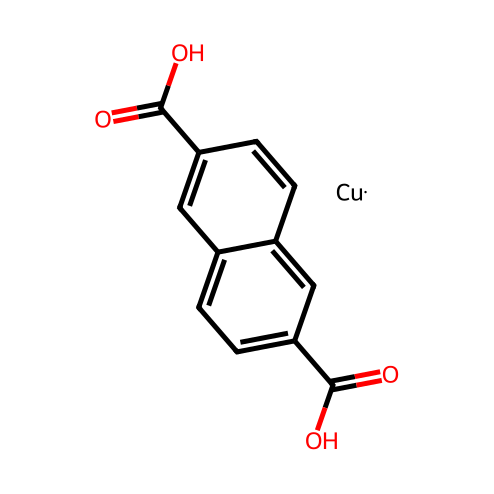 O=C(O)c1ccc2cc(C(=O)O)ccc2c1.[Cu]